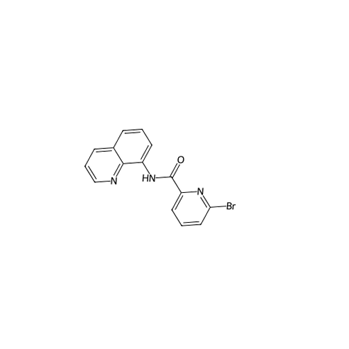 O=C(Nc1cccc2cccnc12)c1cccc(Br)n1